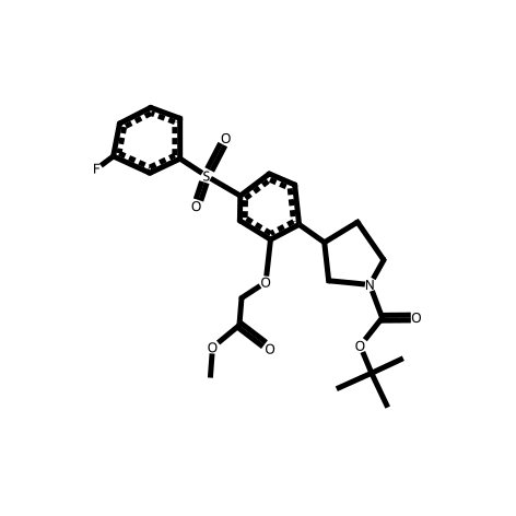 COC(=O)COc1cc(S(=O)(=O)c2cccc(F)c2)ccc1C1CCN(C(=O)OC(C)(C)C)C1